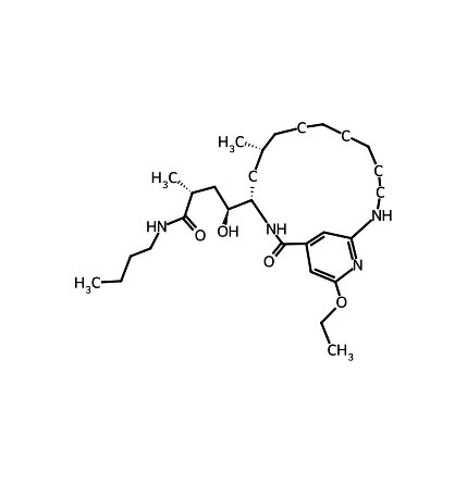 CCCCNC(=O)[C@H](C)C[C@H](O)[C@@H]1C[C@H](C)CCCCCCCNc2cc(cc(OCC)n2)C(=O)N1